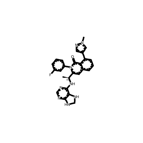 C[C@H](Nc1ncnc2c1NCN2)c1cc2cccc(-c3cnn(C)c3)c2c(=O)n1-c1cccc(F)c1